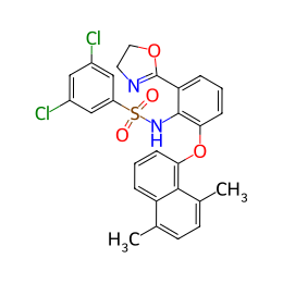 Cc1ccc(C)c2c(Oc3cccc(C4=NCCO4)c3NS(=O)(=O)c3cc(Cl)cc(Cl)c3)cccc12